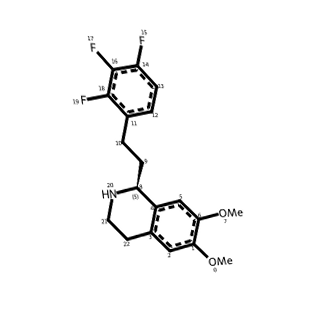 COc1cc2c(cc1OC)[C@H](CCc1ccc(F)c(F)c1F)NCC2